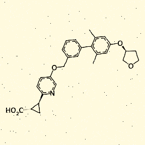 Cc1cc(O[C@H]2CCOC2)cc(C)c1-c1cccc(COc2ccc([C@H]3C[C@@H]3C(=O)O)nc2)c1